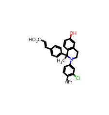 CCCc1ccc(N2CCc3cc(O)ccc3C2(C)c2ccc(C=CC(=O)O)cc2)cc1Cl